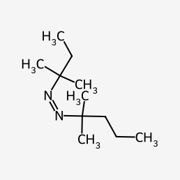 CCCC(C)(C)/N=N\C(C)(C)CC